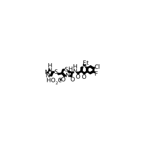 CCn1cc(C(=O)NC2C(=O)N3C(OC(=O)O)=C(CSc4cnn[nH]4)CS[C@@H]23)c(=O)c2cc(F)c(Cl)cc21